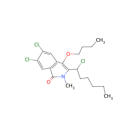 CCCCCC(Cl)c1c(OCCCC)c2cc(Cl)c(Cl)cc2c(=O)n1C